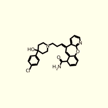 NC(=O)C1C=CC=C2Oc3ncccc3C(=CCCN3CCC(O)(c4ccc(Cl)cc4)CC3)C=C21